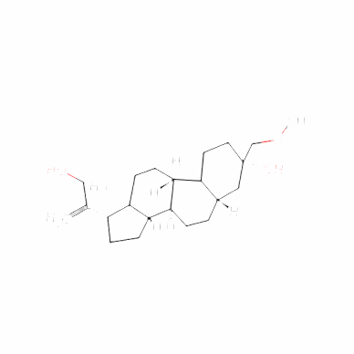 C=C(CO)[C@H]1CC[C@H]2[C@@H]3CC[C@H]4C[C@](O)(COC)CC[C@@H]4[C@H]3CC[C@]12C